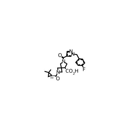 CC1(C)C[C@@H]1C(=O)N1CC2(CN(C(=O)c3cnn(Cc4ccc(F)cc4)c3)CC2C(=O)O)C1